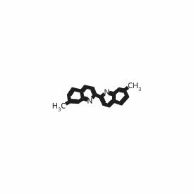 Cc1ccc2ccc(-c3ccc4ccc(C)cc4n3)nc2c1